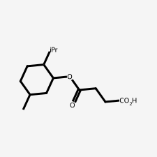 CC1CCC(C(C)C)C(OC(=O)CCC(=O)O)C1